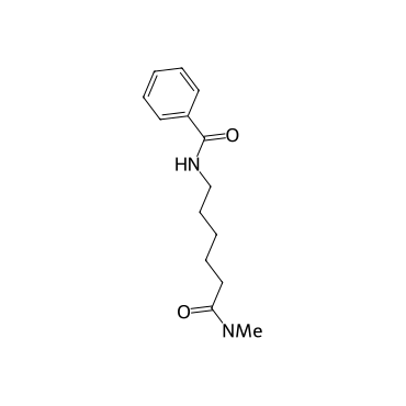 CNC(=O)CCCCCNC(=O)c1ccccc1